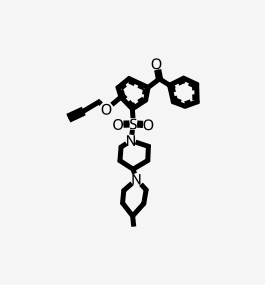 C#CCOc1ccc(C(=O)c2ccccc2)cc1S(=O)(=O)N1CCC(N2CCC(C)CC2)CC1